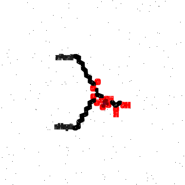 CCCCC/C=C\CCCCCCCC(=O)OC[C@H](COP(=O)(O)OC[C@@H](O)CO)OC(=O)CCCCCCC/C=C\CCCCCCC